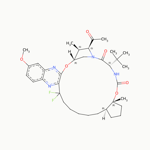 COc1ccc2nc3c(nc2c1)O[C@H]1CN(C(=O)[C@H](C(C)(C)C)NC(=O)O[C@]2(C)CCC[C@H]2CCCCCC3(F)F)[C@H](C(C)=O)[C@@H]1C